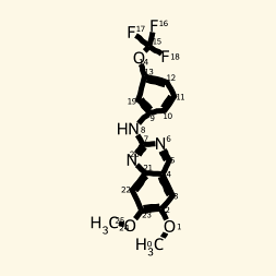 COc1cc2cnc(Nc3cccc(OC(F)(F)F)c3)nc2cc1OC